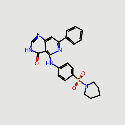 O=c1[nH]cnc2cc(-c3ccccc3)nc(Nc3ccc(S(=O)(=O)N4CCCCC4)cc3)c12